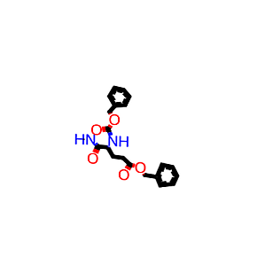 [NH]C(=O)C(CCC(=O)OCc1ccccc1)NC(=O)OCc1ccccc1